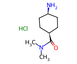 CN(C)C(=O)[C@H]1CC[C@@H](N)CC1.Cl